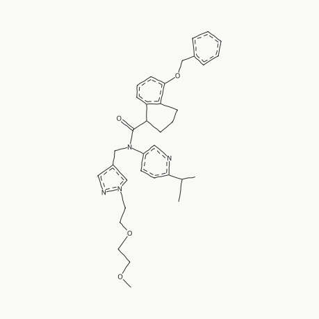 COCCOCCn1cc(CN(C(=O)C2CCCc3c(OCc4ccccc4)cccc32)c2ccc(C(C)C)nc2)cn1